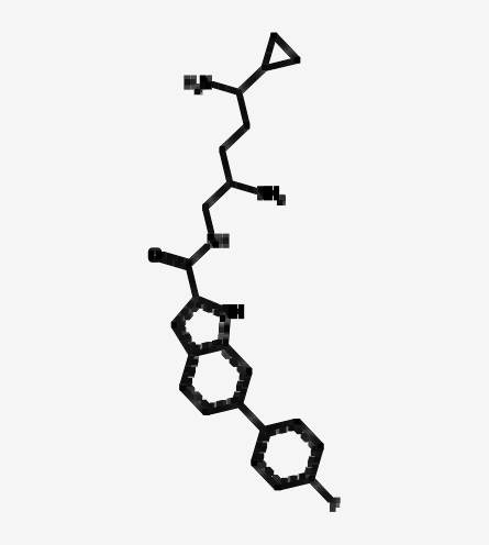 NC(CCC(N)C1CC1)CNC(=O)c1cc2ccc(-c3ccc(F)cc3)cc2[nH]1